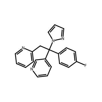 Fc1ccc(C(Cc2ccccn2)(c2cccnc2)n2cccn2)cc1